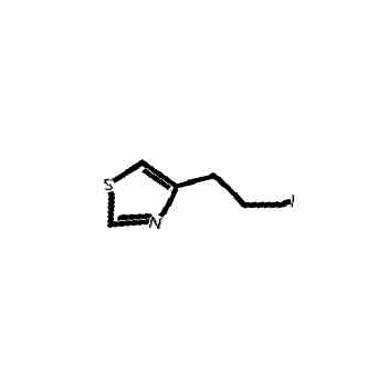 ICCc1cscn1